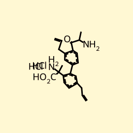 C=CCc1ccc(C(C)(N)C(=O)O)c(-c2ccc(C(=O)C(C)N)c(CC=C)c2)c1.Cl.Cl